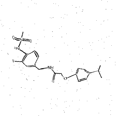 CC(C)c1ccc(OCC(=O)NCc2ccc(NS(C)(=O)=O)c(F)c2)cc1